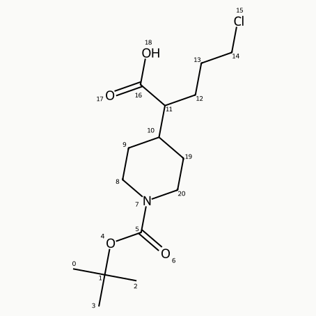 CC(C)(C)OC(=O)N1CCC(C(CCCCl)C(=O)O)CC1